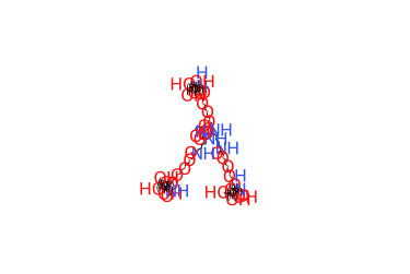 CC(=O)N[C@H]1[C@H](OCCOCCOCCOCC(=O)NC(CCCCNC(=O)COCCOCCOCCO[C@@H]2O[C@H](CO)[C@H](O)C(O)[C@H]2NC(C)=O)C(=O)NC(CCCCNC(=O)COCCOCCOCCO[C@@H]2O[C@H](CO)[C@H](O)C(O)[C@H]2NC(C)=O)C(=O)ON2C(=O)CCC2=O)O[C@H](CO)[C@H](O)[C@@H]1O